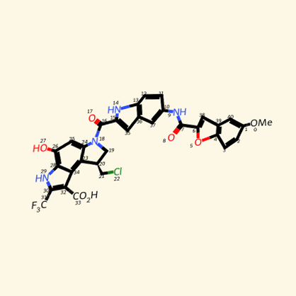 COc1ccc2oc(C(=O)Nc3ccc4[nH]c(C(=O)N5C[C@@H](CCl)c6c5cc(O)c5[nH]c(C(F)(F)F)c(C(=O)O)c65)cc4c3)cc2c1